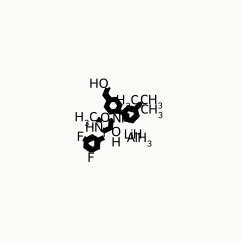 CC(=O)N[C@@H](Cc1cc(F)cc(F)c1)[C@@H](O)CNC1(c2cccc(C(C)(C)C)c2)CCC(=CCO)CC1.[AlH3].[LiH]